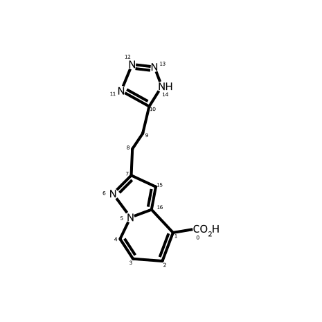 O=C(O)c1cccn2nc(CCc3nnn[nH]3)cc12